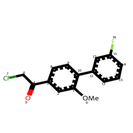 COc1cc(C(=O)CCl)ccc1-c1cccc(F)c1